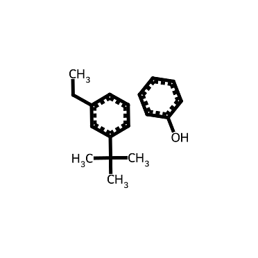 CCc1cccc(C(C)(C)C)c1.Oc1ccccc1